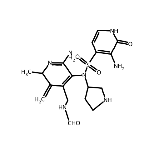 C=C1C(CNC=O)=C(N(C2CCNC2)S(=O)(=O)c2cc[nH]c(=O)c2N)C(N)=NC1C